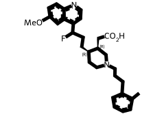 COc1ccc2nccc(C(F)CC[C@@H]3CCN(CCCc4ccccc4C)C[C@@H]3CC(=O)O)c2c1